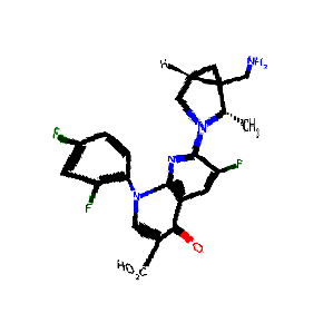 C[C@@H]1N(c2nc3c(cc2F)c(=O)c(C(=O)O)cn3-c2ccc(F)cc2F)C[C@@H]2CC21CN